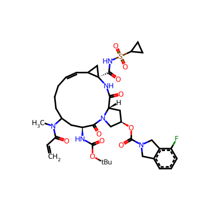 C=CC(=O)N(C)C1CCC/C=C\C2C[C@@]2(C(=O)NS(=O)(=O)C2CC2)NC(=O)[C@@H]2C[C@@H](OC(=O)N3Cc4cccc(F)c4C3)CN2C(=O)[C@@H](NC(=O)OC(C)(C)C)C1